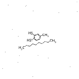 CCCCCCCCCC.Cc1ccc(S)c(S)c1